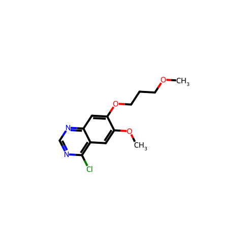 COCCCOc1cc2ncnc(Cl)c2cc1OC